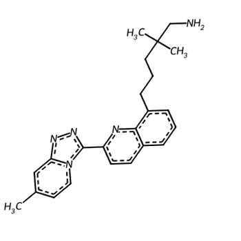 Cc1ccn2c(-c3ccc4cccc(CCCC(C)(C)CN)c4n3)nnc2c1